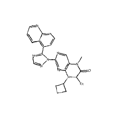 CCC1C(=O)N(C)c2cnc(-n3ncnc3-c3cccc4ncccc34)nc2N1C1CCC1